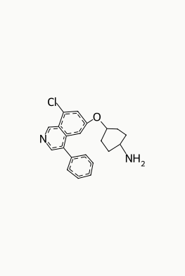 NC1CCC(Oc2cc(Cl)c3cncc(-c4ccccc4)c3c2)CC1